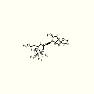 CCCCCC(C#CC1C(O)CC2C1CC21OCCO1)O[Si](C)(C)C(C)(C)C